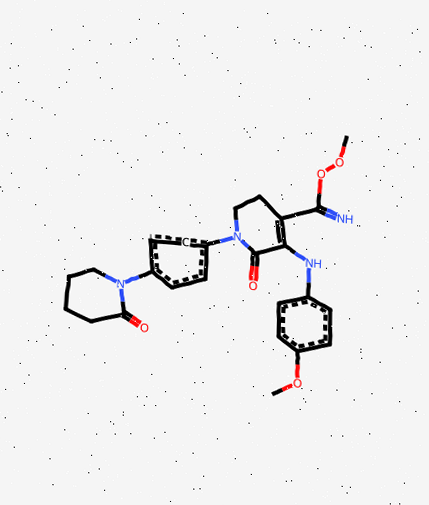 COOC(=N)C1=C(Nc2ccc(OC)cc2)C(=O)N(c2ccc(N3CCCCC3=O)cc2)CC1